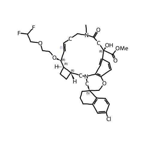 COC(=O)[C@@]1(O)CC(=O)N(C)CC/C=C/[C@H](OCCOCC(F)F)[C@@H]2CC[C@H]2CN2C[C@@]3(CCCc4cc(Cl)ccc43)COc3ccc1cc32